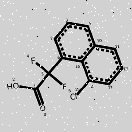 O=C(O)C(F)(F)c1cccc2cccc(Cl)c12